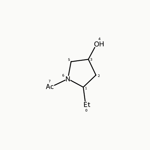 CCC1CC(O)CN1C(C)=O